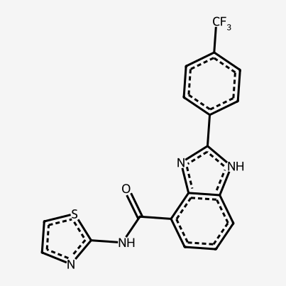 O=C(Nc1nccs1)c1cccc2[nH]c(-c3ccc(C(F)(F)F)cc3)nc12